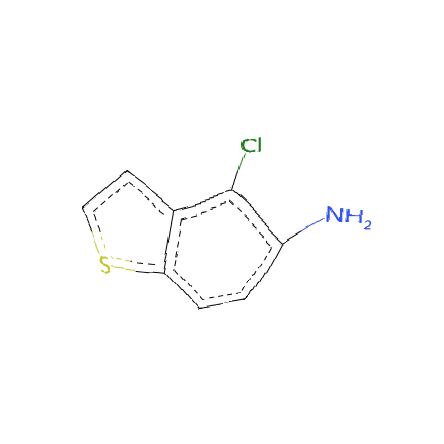 Nc1ccc2sccc2c1Cl